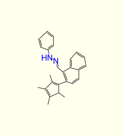 CC1=C(C)C(C)C(c2ccc3ccccc3c2C=NNc2ccccc2)=C1C